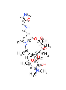 CCCN1C[C@H](C)C[C@@](C)(OC)[C@H](O[C@@H]2O[C@H](C)C[C@H](N(C)C)[C@H]2O)[C@@H](C)C(=O)C(C)(C)C(=O)OC[C@H]1CCCNCc1cnco1